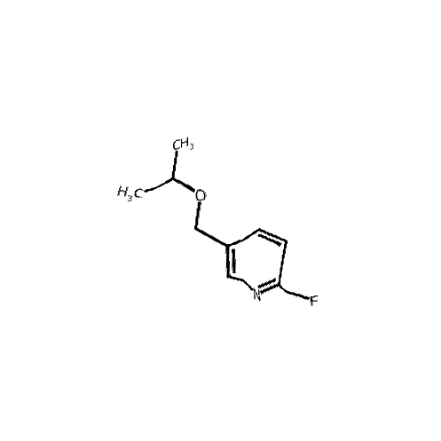 CC(C)OCc1ccc(F)nc1